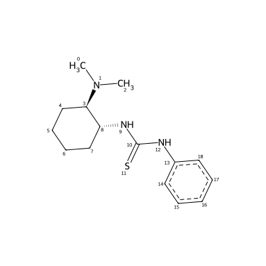 CN(C)[C@@H]1CCCC[C@H]1NC(=S)Nc1ccccc1